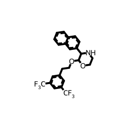 FC(F)(F)c1cc(CCOC2OCCNC2c2ccc3ccccc3c2)cc(C(F)(F)F)c1